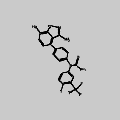 NC(=O)N(c1ccc(-c2ccc(O)c3[nH]nc(N)c23)cc1)c1ccc(F)c(C(F)(F)F)c1